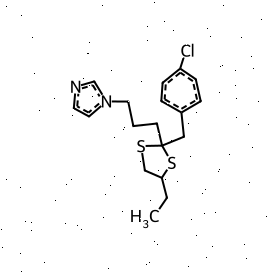 CCC1CSC(CCCn2ccnc2)(Cc2ccc(Cl)cc2)S1